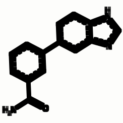 NC(=O)c1cccc(-c2ccc3[nH]cnc3c2)c1